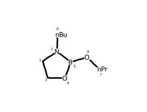 CCCCN1CCOB1OCCC